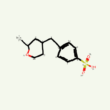 CC1CC(Cc2ccc(S(=O)(=O)O)cc2)CCO1